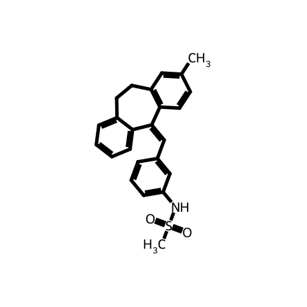 Cc1ccc2c(c1)CCc1ccccc1/C2=C\c1cccc(NS(C)(=O)=O)c1